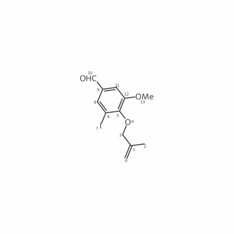 C=C(C)COc1c(I)cc(C=O)cc1OC